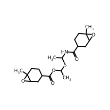 CC(NC(=O)C1CCC2(C)OC2C1)SC(C)OC(=O)C1CCC2(C)OC2C1